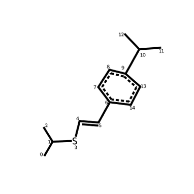 CC(C)S/C=C/c1ccc(C(C)C)cc1